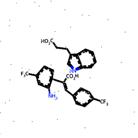 Nc1cc(C(F)(F)F)ccc1C(=Cc1ccc(C(F)(F)F)cc1)C(=O)O.O=C(O)CCc1c[nH]c2ccccc12